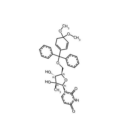 COC1(OC)C=CC(C(OC[C@H]2O[C@@H](n3ccc(=O)[nH]c3=O)[C@](C)(O)[C@@H]2O)(c2ccccc2)c2ccccc2)=CC1